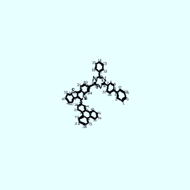 c1ccc(-c2ccc(-c3nc(-c4ccccc4)nc(-c4ccc5c(c4)nc(-c4ccc6c7ccccc7c7ccccc7c6c4)c4c6ccccc6sc54)n3)cc2)cc1